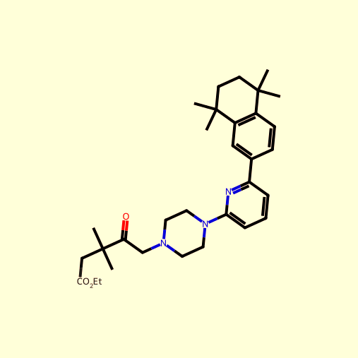 CCOC(=O)CC(C)(C)C(=O)CN1CCN(c2cccc(-c3ccc4c(c3)C(C)(C)CCC4(C)C)n2)CC1